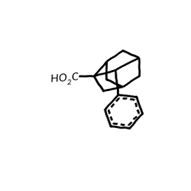 O=C(O)C12CC3CC(CC1C3)C2c1ccccc1